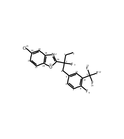 CCC(F)(Cc1ccc(F)c(C(F)(F)F)c1)c1nc2cc(Cl)ccc2o1